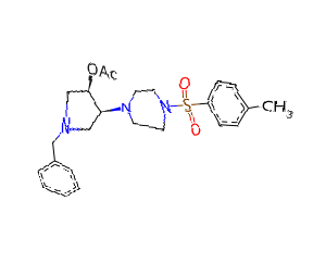 CC(=O)O[C@@H]1CN(Cc2ccccc2)C[C@@H]1N1CCN(S(=O)(=O)c2ccc(C)cc2)CC1